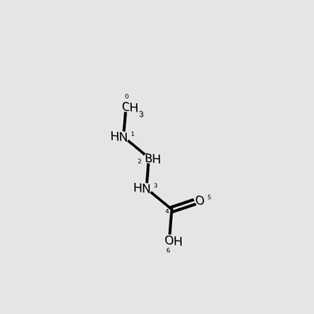 CNBNC(=O)O